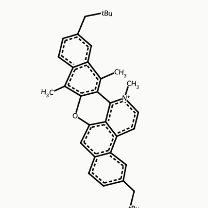 Cc1c2c(c(C)c3cc(CC(C)(C)C)ccc13)-c1c3c(cc4ccc(CC(C)(C)C)cc4c3cc[n+]1C)O2